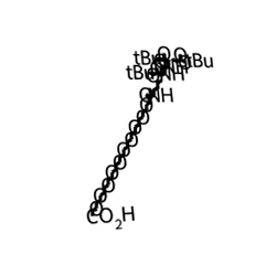 CC(C)(C)OC(=O)CC[C@H](NC(=O)N[C@@H](CCCCNC(=O)COCCOCCOCCOCCOCCOCCOCCOCCOCCOCC(=O)O)C(=O)OC(C)(C)C)C(=O)OC(C)(C)C